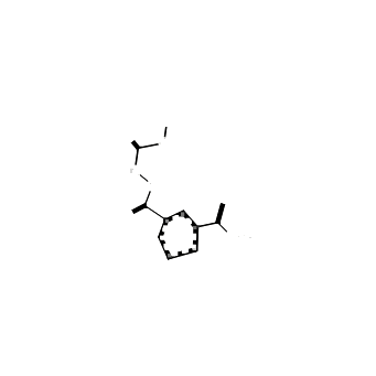 COC(=O)c1cccc(C(=O)NNC(=O)OC(C)(C)C)c1